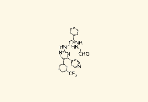 O=CCNN[C@@H](CCNc1ncc(-c2cccc(C(F)(F)F)c2)c(-c2ccncc2)n1)c1ccccc1